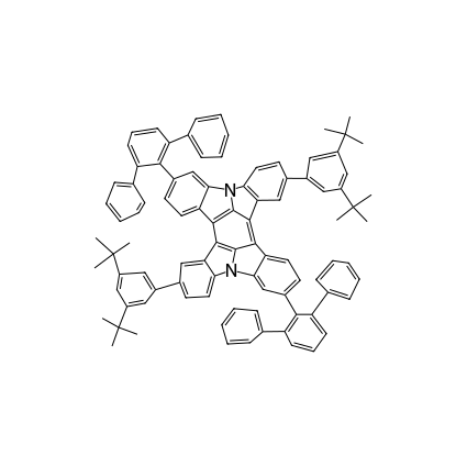 CC(C)(C)c1cc(-c2ccc3c(c2)c2c4c5ccc(-c6c(-c7ccccc7)cccc6-c6ccccc6)cc5n5c6ccc(-c7cc(C(C)(C)C)cc(C(C)(C)C)c7)cc6c(c6c7ccc(-c8c(-c9ccccc9)cccc8-c8ccccc8)cc7n3c26)c45)cc(C(C)(C)C)c1